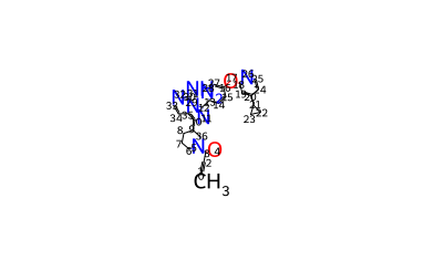 CC#CC(=O)N1CCCC(c2nc(-c3ccc(Oc4cc(C5CC5)ccn4)cn3)n3c(N)nccc23)C1